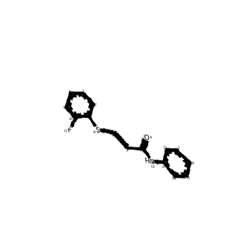 O=C(C=CSc1ccccc1F)Nc1ccccc1